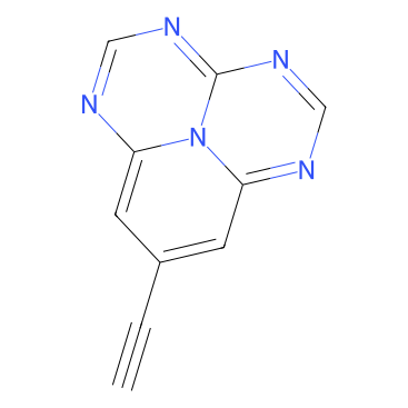 C#CC1=CC2=NC=NC3=NC=NC(=C1)N23